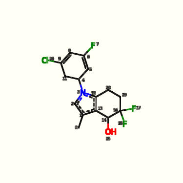 Cc1cn(C2C=C(F)C=C(Cl)C2)c2c1C(O)C(F)(F)CC2